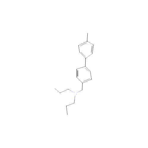 CCCN(CCC)Cc1ccc(-c2ccc(C)cc2)cc1